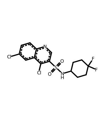 O=S(=O)(NC1CCC(F)(F)CC1)c1cnc2ccc(Cl)cc2c1Cl